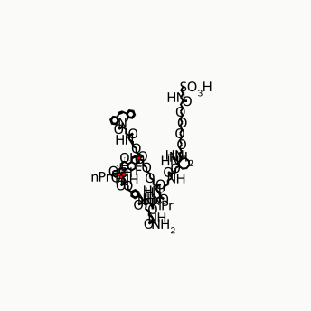 CCCC1O[C@@H]2CC3[C@@H]4C[C@H](F)C5=CC(=O)C=C[C@]5(C)[C@@]4(F)[C@@H](O)C[C@]3(C)[C@]2(C(=O)CNC(=O)OCc2ccc(NC(=O)[C@H](CCCNC(N)=O)NC(=O)[C@@H](NC(=O)[C@@H](CCCCNC(=O)COC3CCCCC/C(NCCOCCOCCOCCOCCC(=O)NCCS(=O)(=O)O)=C\3NN)NC(=O)CCOCCOCCOCCOCCNC(=O)CCC(=O)N3Cc4ccccc4C#Cc4ccccc43)C(C)C)cc2)O1